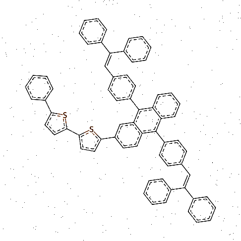 C(=C(c1ccccc1)c1ccccc1)c1ccc(-c2c3ccccc3c(-c3ccc(C=C(c4ccccc4)c4ccccc4)cc3)c3cc(-c4ccc(-c5ccc(-c6ccccc6)s5)s4)ccc23)cc1